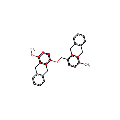 COc1nnc(OCc2ccc(C)c3c2C2c4ccccc4C3c3ccccc32)c2c1C1c3ccccc3C2c2ccccc21